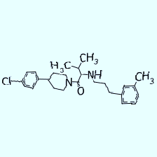 Cc1cccc(CCCNC(C(=O)N2CCC(c3ccc(Cl)cc3)CC2)C(C)C)c1